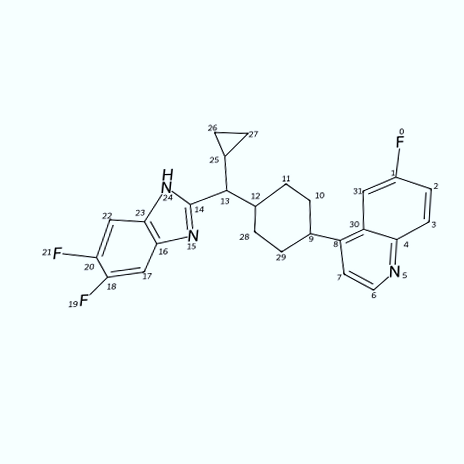 Fc1ccc2nccc(C3CCC(C(c4nc5cc(F)c(F)cc5[nH]4)C4CC4)CC3)c2c1